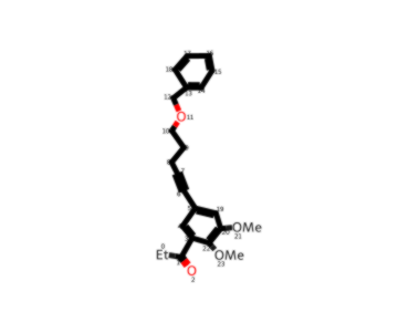 [CH2]CC(=O)c1cc(C#CCCCOCc2ccccc2)cc(OC)c1OC